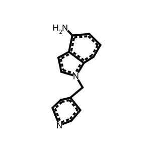 Nc1cccc2c1ccn2Cc1ccncc1